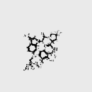 CCOP(=O)(COc1ccc2c(C(C)=O)cn(CC(=O)N3C[C@H](F)C[C@H]3C(=O)N[C@H](C)c3cccc(Cl)c3F)c2c1)OCC